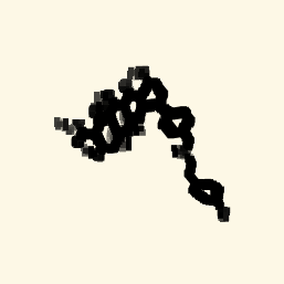 NC(=O)C1=C(O)C[C@@H]2C[C@@H]3Cc4c(-c5ccc(CNCCc6ccc(Cl)cc6)cc5)ccc(O)c4C(=O)C3=C(O)[C@]2(O)C1=O